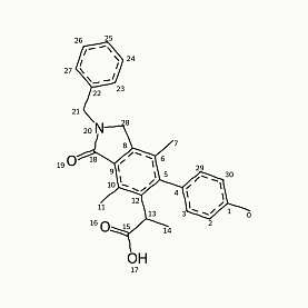 Cc1ccc(-c2c(C)c3c(c(C)c2C(C)C(=O)O)C(=O)N(Cc2ccccc2)C3)cc1